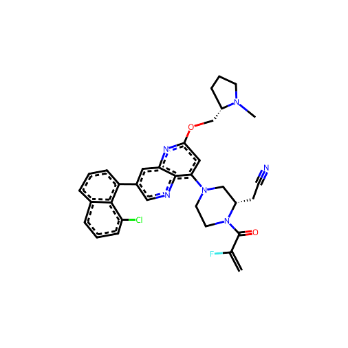 C=C(F)C(=O)N1CCN(c2cc(OC[C@@H]3CCCN3C)nc3cc(-c4cccc5cccc(Cl)c45)cnc23)C[C@@H]1CC#N